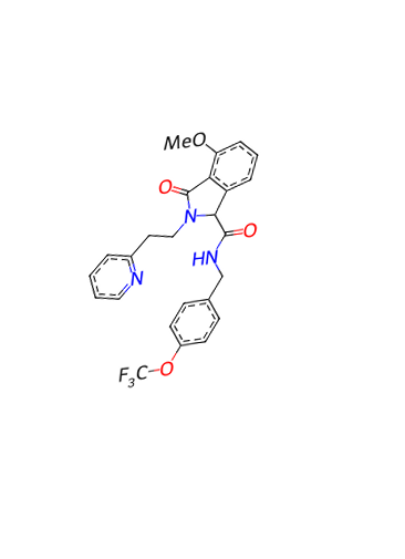 COc1cccc2c1C(=O)N(CCc1ccccn1)C2C(=O)NCc1ccc(OC(F)(F)F)cc1